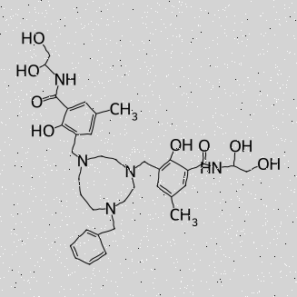 Cc1cc(CN2CCCN(Cc3ccccc3)CCN(Cc3cc(C)cc(C(=O)NC(O)CO)c3O)CC2)c(O)c(C(=O)NC(O)CO)c1